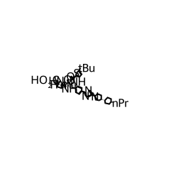 CCC[C@H]1CC[C@H](C2CCN(c3cnc(-c4ccc(C[C@H](NC(=O)c5ccc(C(C)(C)C)s5)C(=O)[C@]56CN[C@@H](C(=O)O)CC(C5)N6)cc4)nc3)CC2)CC1